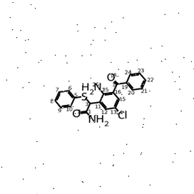 NC(=O)C(Sc1ccccc1)c1cc(Cl)cc(C(=O)c2ccccc2)c1N